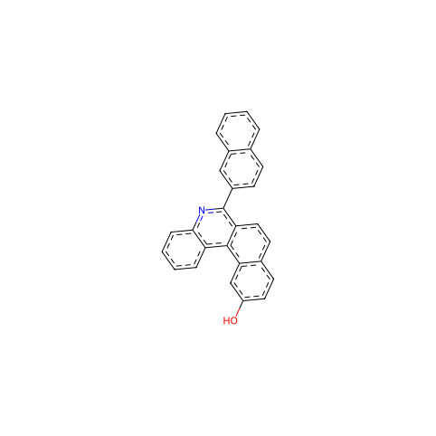 Oc1ccc2ccc3c(-c4ccc5ccccc5c4)nc4ccccc4c3c2c1